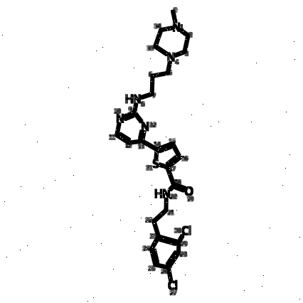 CN1CCN(CCCNc2nccc(-c3ccc(C(=O)NCCc4ccc(Cl)cc4Cl)s3)n2)CC1